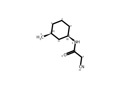 C[C@H]1CCC[C@@H](NC(=O)CC#N)C1